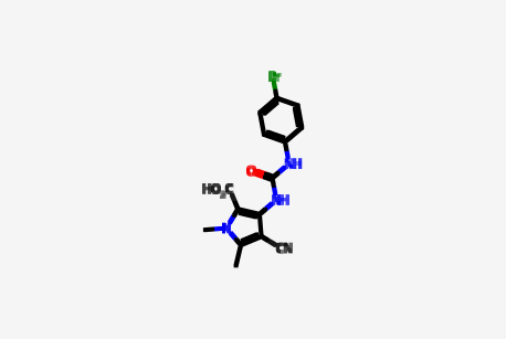 Cc1c(C#N)c(NC(=O)Nc2ccc(Br)cc2)c(C(=O)O)n1C